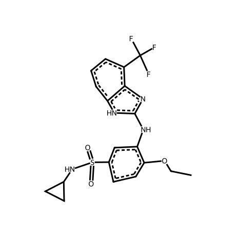 CCOc1ccc(S(=O)(=O)NC2CC2)cc1Nc1nc2c(C(F)(F)F)cccc2[nH]1